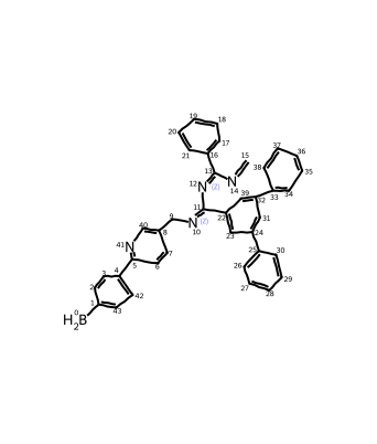 Bc1ccc(-c2ccc(C/N=C(\N=C(/N=C)c3ccccc3)c3cc(-c4ccccc4)cc(-c4ccccc4)c3)cn2)cc1